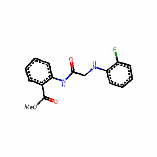 COC(=O)c1ccccc1NC(=O)CNc1ccccc1F